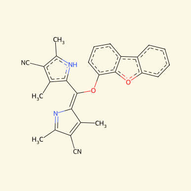 CC1=N/C(=C(/Oc2cccc3c2oc2ccccc23)c2[nH]c(C)c(C#N)c2C)C(C)=C1C#N